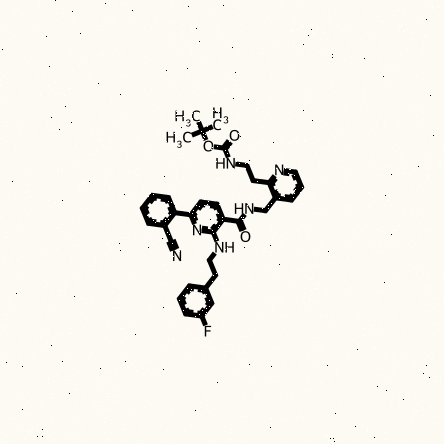 CC(C)(C)OC(=O)NCCc1ncccc1CNC(=O)c1ccc(-c2ccccc2C#N)nc1NCCc1cccc(F)c1